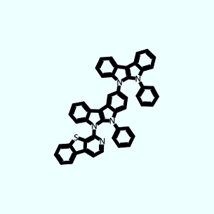 c1ccc(-n2c3ccccc3c3c4ccccc4n(-c4ccc5c(c4)c4c6ccccc6n(-c6nccc7c6sc6ccccc67)c4n5-c4ccccc4)c32)cc1